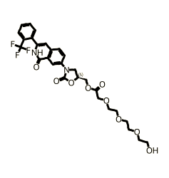 O=C(COCCOCCOCCO)OC[C@@H]1CN(c2ccc3cc(-c4ccccc4C(F)(F)F)[nH]c(=O)c3c2)C(=O)O1